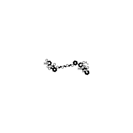 CN1C[C@H](Nc2nc3ccccn3c(=O)c2Br)C[C@H](c2cccc(OCCOCCOCCOc3cccc4c3C(=O)N(C3CCC(=O)NC3=O)C4=O)c2)C1